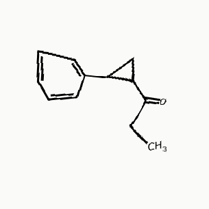 CCC(=O)C1CC1c1ccccc1